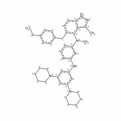 COc1ccc(Cc2ccc3[nH]nc(C)c3c2N(C)c2ccnc(Nc3cc(N4CCOCC4)cc(N4CCOCC4)c3)n2)cc1